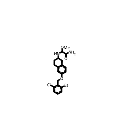 CCc1cccc(Cl)c1COc1ccc2c(c1)CCC(NC(OC)C(N)=O)C2